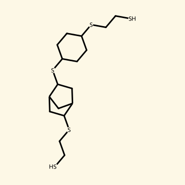 SCCSC1CCC(SC2CC3CC2CC3SCCS)CC1